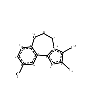 Clc1cnc2c(c1)-c1nc(I)c(I)n1CCO2